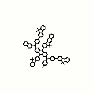 Cc1ccc(N(c2ccc(-c3ccc4c(c3)C(C)(C)c3ccccc3-4)cc2)c2ccc3c(-c4ccc5c(c4)C(C)(C)c4cc6ccccc6cc4-5)c4cc(N(c5ccc(-c6ccc7c(c6)C(C)(C)c6ccccc6-7)cc5)c5ccc6ccccc6c5)ccc4c(-c4ccc5c(c4)C(C)(C)c4ccccc4-5)c3c2)cc1